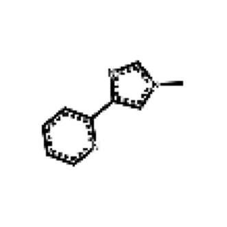 Cn1cnc(-c2ccccn2)c1